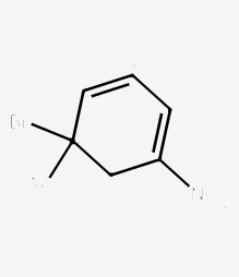 CC(=O)C1(Br)C=CC=C([N+](=O)[O-])C1